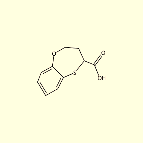 O=C(O)C1CCOc2ccccc2S1